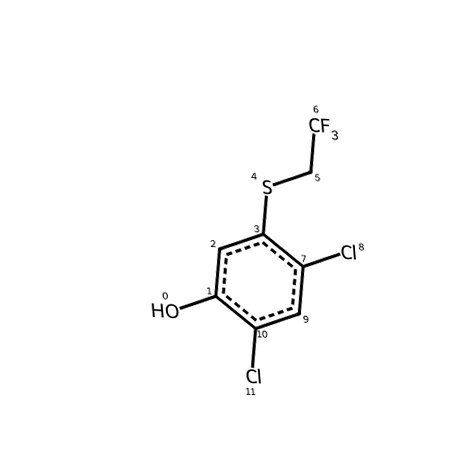 Oc1cc(SCC(F)(F)F)c(Cl)cc1Cl